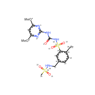 COc1cc(OC)nc(NC(=O)NS(=O)(=O)c2cc(CNS(C)(=O)=O)ccc2C(C)C)n1